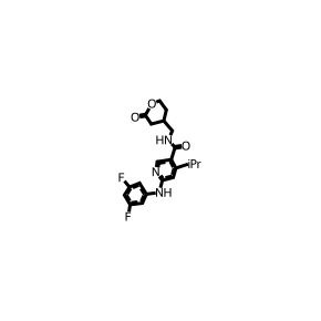 CC(C)c1cc(Nc2cc(F)cc(F)c2)ncc1C(=O)NCC1CCOC(=O)C1